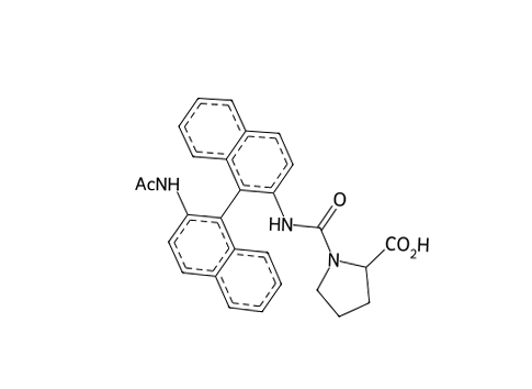 CC(=O)Nc1ccc2ccccc2c1-c1c(NC(=O)N2CCCC2C(=O)O)ccc2ccccc12